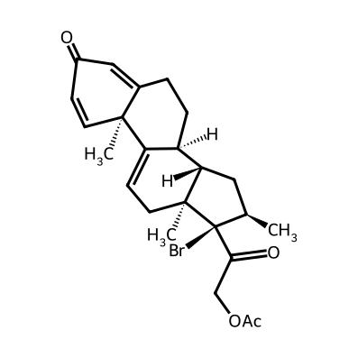 CC(=O)OCC(=O)[C@@]1(Br)[C@H](C)C[C@H]2[C@@H]3CCC4=CC(=O)C=C[C@]4(C)C3=CC[C@@]21C